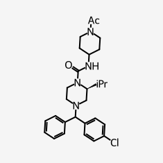 CC(=O)N1CCC(NC(=O)N2CCN(C(c3ccccc3)c3ccc(Cl)cc3)C[C@@H]2C(C)C)CC1